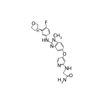 Cn1c(Nc2ccc(F)c([C@H]3CCOC3)c2)nc2cc(Oc3ccnc(NCC(N)=O)c3)ccc21